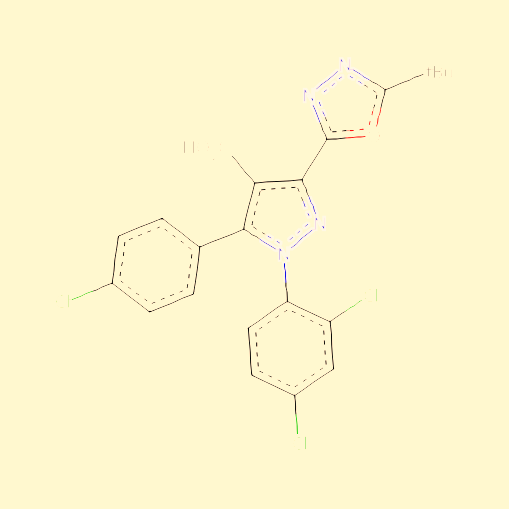 CC(C)(C)c1nnc(-c2nn(-c3ccc(Cl)cc3Cl)c(-c3ccc(Cl)cc3)c2C(=O)O)o1